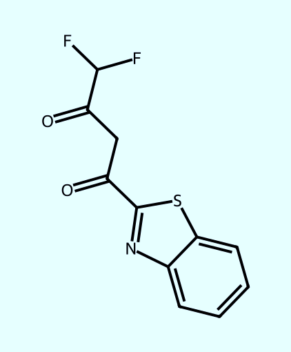 O=C(CC(=O)C(F)F)c1nc2ccccc2s1